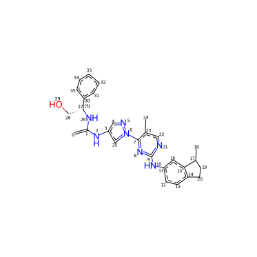 C=C(Nc1cnn(-c2nc(Nc3ccc4c(c3)C(C)CC4)ncc2C)c1)N[C@H](CO)c1ccccc1